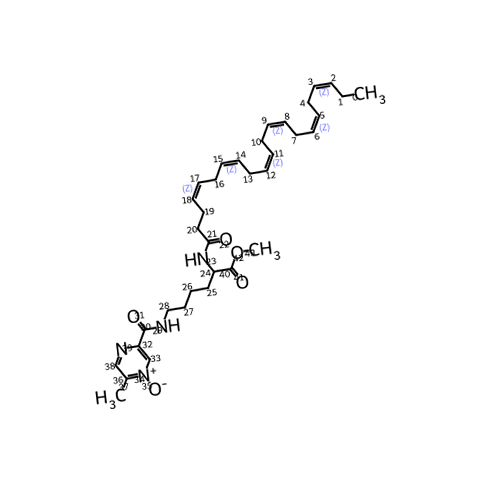 CC/C=C\C/C=C\C/C=C\C/C=C\C/C=C\C/C=C\CCC(=O)NC(CCCCNC(=O)c1c[n+]([O-])c(C)cn1)C(=O)OC